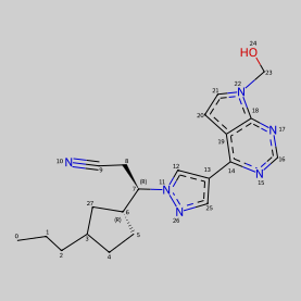 CCCC1CC[C@@H]([C@@H](CC#N)n2cc(-c3ncnc4c3ccn4CO)cn2)C1